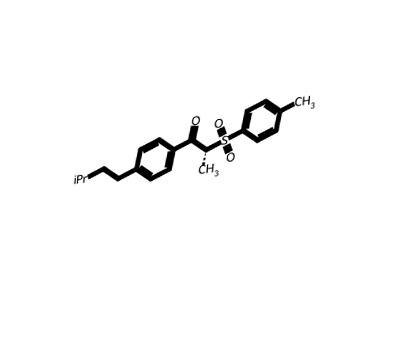 Cc1ccc(S(=O)(=O)[C@H](C)C(=O)c2ccc(CCC(C)C)cc2)cc1